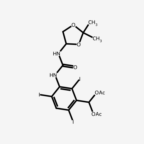 CC(=O)OC(OC(C)=O)c1c(I)cc(I)c(NC(=O)NC2COC(C)(C)O2)c1I